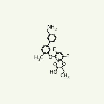 CCC(Oc1nc(Oc2cc(-c3cccc(CN)c3)ccc2C)c(F)cc1F)C(=O)O